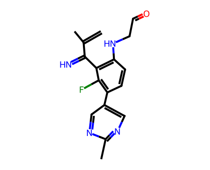 C=C(C)C(=N)c1c(NCC=O)ccc(-c2cnc(C)nc2)c1F